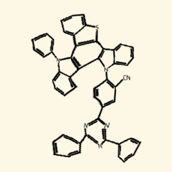 N#Cc1cc(-c2nc(-c3ccccc3)nc(-c3ccccc3)n2)ccc1-n1c2ccccc2c2c3sc4ccccc4c3c3c(c4ccccc4n3-c3ccccc3)c21